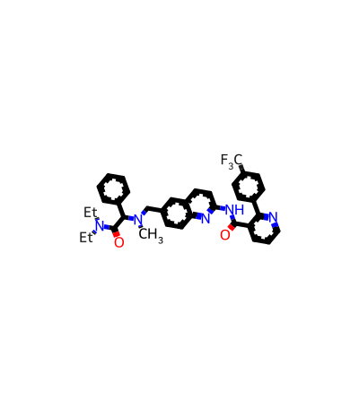 CCN(CC)C(=O)C(c1ccccc1)N(C)Cc1ccc2nc(NC(=O)c3cccnc3-c3ccc(C(F)(F)F)cc3)ccc2c1